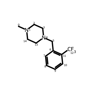 CN1CCN(Cc2[c]cccc2C(F)(F)F)CC1